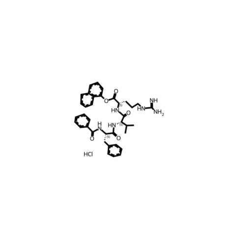 CC(C)[C@H](NC(=O)[C@H](Cc1ccccc1)NC(=O)c1ccccc1)C(=O)N[C@@H](CCCNC(=N)N)C(=O)Oc1cccc2ccccc12.Cl